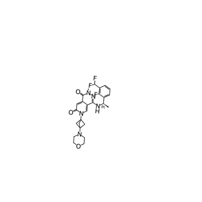 C[C@@H](Nc1nn(C)c(=O)c2cc(=O)n(C34CC(N5CCOCC5)(C3)C4)cc12)c1cccc(C(F)F)c1F